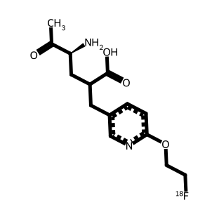 CC(=O)[C@@H](N)CC(Cc1ccc(OCC[18F])nc1)C(=O)O